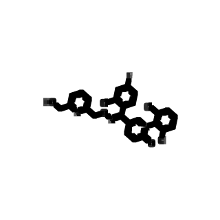 O=c1ccc(/C(=N/OCc2cccc(CO)n2)c2ccc(F)cc2Cl)cn1-c1c(Cl)cccc1Cl